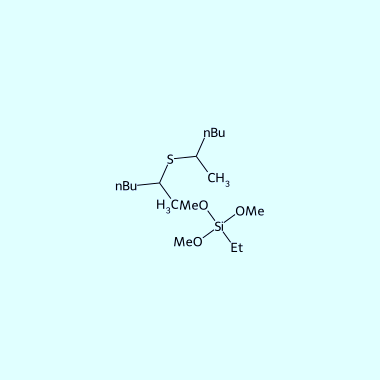 CCCCC(C)SC(C)CCCC.CC[Si](OC)(OC)OC